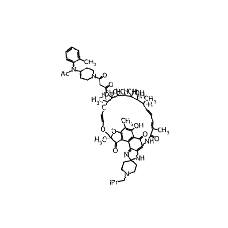 CC(=O)N(c1ccccc1C)C1CCN(C(=O)CC(=O)O[C@H]2[C@H](C)[C@H](O)[C@H](C)[C@@H](O)[C@@H](C)/C=C/C=C(/C)C(=O)NC3=C4NC5(CCN(CC(C)C)CC5)N=C4c4c(c(O)c(C)c5c4C(=O)[C@@](C)(O/C=C/C[C@H]2C)O5)C3=O)CC1